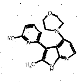 Cc1[nH]c2nccc(N3CCOCC3)c2c1-c1cccc(C#N)n1